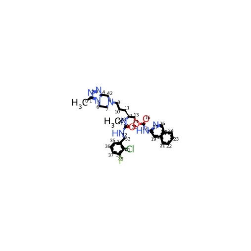 Cc1nnc2n1CCN(CCC[C@@H](COC(=O)Nc1cc3ccccc3cn1)N(C)C(=O)NCc1cccc(F)c1Cl)C2